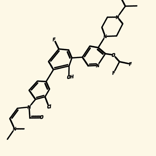 CC(C)N1CCN(c2cc(-c3cc(F)cc(-c4ccc(N(C=O)/C=C\N(C)C)c(Cl)c4)c3O)cnc2OC(F)F)CC1